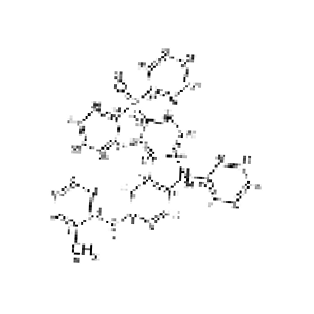 Cc1ccccc1Sc1ccc2c(c1)c1cc(P(=O)(c3ccccc3)c3ccccc3)ccc1n2-c1ccccc1